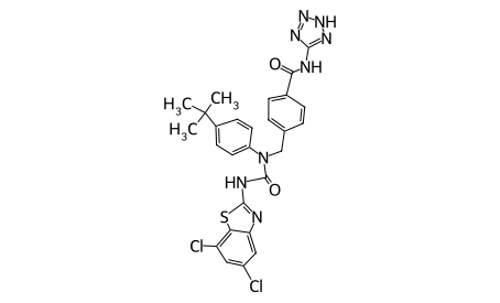 CC(C)(C)c1ccc(N(Cc2ccc(C(=O)Nc3nn[nH]n3)cc2)C(=O)Nc2nc3cc(Cl)cc(Cl)c3s2)cc1